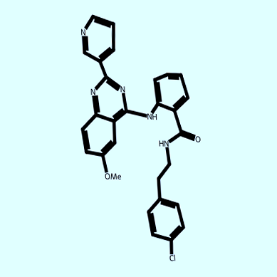 COc1ccc2nc(-c3cccnc3)nc(Nc3ccccc3C(=O)NCCc3ccc(Cl)cc3)c2c1